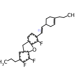 CCCC1=CCC(/C=C/c2ccc3c(c2F)Oc2c(cc(CCC)c(F)c2F)C3)CC1